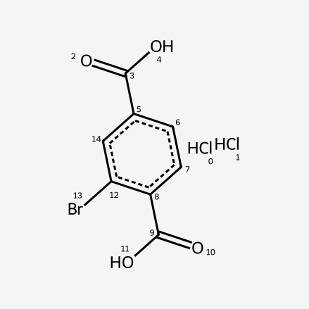 Cl.Cl.O=C(O)c1ccc(C(=O)O)c(Br)c1